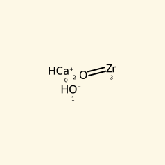 [CaH+].[OH-].[O]=[Zr]